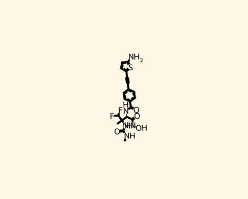 CNC(=O)NC(C)(C(F)F)[C@H](NC(=O)c1ccc(C#Cc2ccc(N)s2)cc1)C(=O)NO